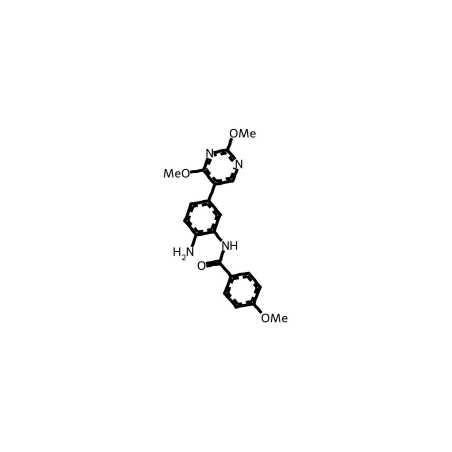 COc1ccc(C(=O)Nc2cc(-c3cnc(OC)nc3OC)ccc2N)cc1